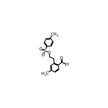 CCC(=O)c1ccc(C)cc1CCOS(=O)(=O)c1ccc(C)cc1